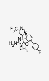 CN1C(=O)C(c2ccnc(C(F)(F)F)c2)(c2cc(-c3ccc(F)cc3)ccc2F)N=C1N